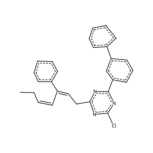 CC/C=C\C(=C/Cc1nc(Cl)nc(-c2cccc(-c3ccccc3)c2)n1)c1ccccc1